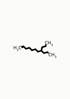 C=CCCCCCC(CCC)CCC